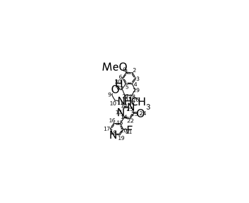 COc1ccc2c(c1)[C@@H]1OCCN(c3nc(-c4ccncc4F)cc(=O)n3C)[C@H]1CC2